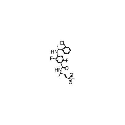 C[C@H](/C=C/S(C)(=O)=O)NC(=O)c1cc(F)c(N[C@H](C)c2ccccc2Cl)cc1F